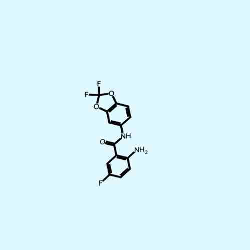 Nc1ccc(F)cc1C(=O)Nc1ccc2c(c1)OC(F)(F)O2